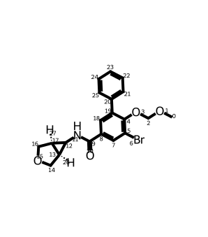 COCOc1c(Br)cc(C(=O)NC2[C@H]3COC[C@@H]23)cc1-c1ccccc1